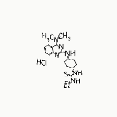 CCNC(=S)N[C@H]1CC[C@@H](Nc2nc(N(C)C)c3ccccc3n2)CC1.Cl